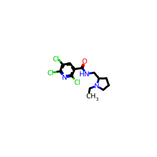 CCN1CCCC1CNC(=O)c1cc(Cl)c(Cl)nc1Cl